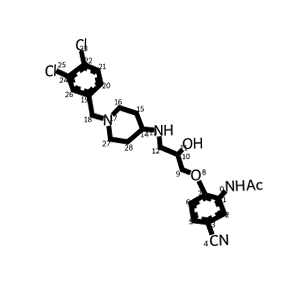 CC(=O)Nc1cc(C#N)ccc1OCC(O)CNC1CCN(Cc2ccc(Cl)c(Cl)c2)CC1